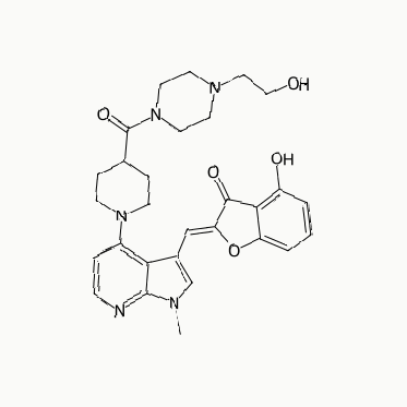 Cn1cc(C=C2Oc3cccc(O)c3C2=O)c2c(N3CCC(C(=O)N4CCN(CCO)CC4)CC3)ccnc21